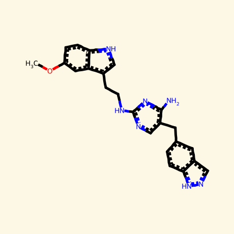 COc1ccc2[nH]cc(CCNc3ncc(Cc4ccc5[nH]ncc5c4)c(N)n3)c2c1